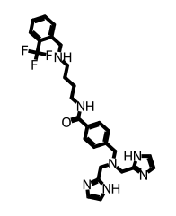 O=C(NCCCCNCc1ccccc1C(F)(F)F)c1ccc(CN(Cc2ncc[nH]2)Cc2ncc[nH]2)cc1